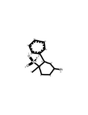 CC(C)C1CCC(C)(S(=O)(=O)F)C(c2ccccc2)C1